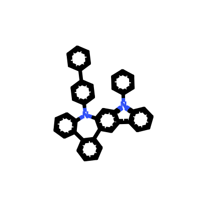 c1ccc(-c2ccc(N3c4ccccc4-c4ccccc4-c4cc5c6ccccc6n(-c6ccccc6)c5cc43)cc2)cc1